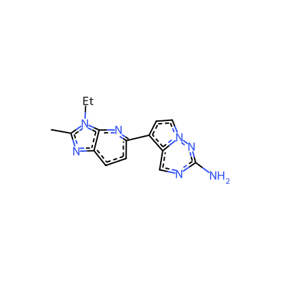 CCn1c(C)nc2ccc(-c3ccn4nc(N)ncc34)nc21